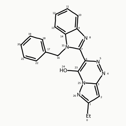 CCc1cc2nnc(-c3nc4ccccc4n3Cc3ccccc3)c(O)n2n1